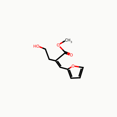 COC(=O)C(=Cc1ccco1)CCO